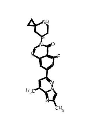 Cc1cn2nc(-c3cc(F)c4c(=O)n([C@@H]5CCNC6(CC6)C5)cnc4c3)cc(C)c2n1